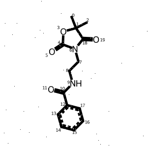 CC1(C)OC(=O)N(CCNC(=O)c2ccccc2)C1=O